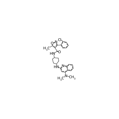 Cc1onc(-c2ccccc2Cl)c1C(=O)NC1CCC(Nc2cc(N(C)C)c3ccccc3n2)CC1